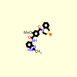 COc1cc(C(=O)N2CC[S+]([O-])Cc3ccccc32)ccc1C(=O)Nc1cccc2[nH]c(C)nc12